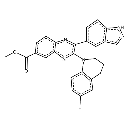 COC(=O)c1ccc2nc(-c3ccc4[nH]ncc4c3)c(N3CCCc4cc(F)ccc43)nc2c1